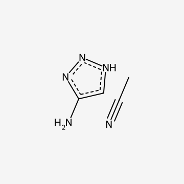 CC#N.Nc1c[nH]nn1